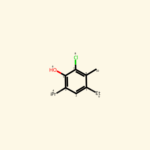 CCc1cc(C(C)C)c(O)c(Cl)c1C